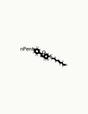 C=CC/C=C/CCCSc1ccc2cc(-c3ccc(CCCCC)cc3)oc2c1